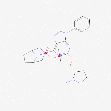 CN1CCC[C@H]1COc1nc(N2C[C@H]3CC[C@@H](C2)N3C(=O)OC(C)(C)C)c2ncn(-c3ccccc3)c2n1